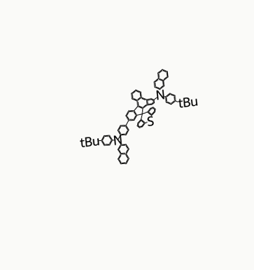 CC(C)(C)c1ccc(N(c2ccc(-c3ccc4c(c3)C3(c5ccccc5Sc5ccccc53)c3c-4c4ccccc4c4cc(N(c5ccc(C(C)(C)C)cc5)c5ccc6ccccc6c5)ccc34)cc2)c2ccc3ccccc3c2)cc1